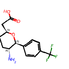 N[C@@H]1CC[C@@H](CC(=O)O)O[C@H]1c1ccc(C(F)(F)F)cc1